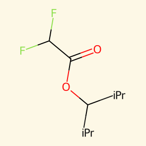 CC(C)C(OC(=O)C(F)F)C(C)C